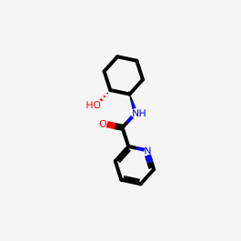 O=C(N[C@@H]1CCCC[C@H]1O)c1ccccn1